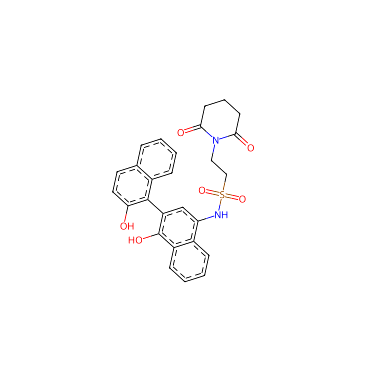 O=C1CCCC(=O)N1CCS(=O)(=O)Nc1cc(-c2c(O)ccc3ccccc23)c(O)c2ccccc12